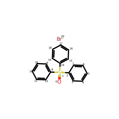 O=[S+](c1ccccc1)(c1ccccc1)c1ccccc1.[Br-]